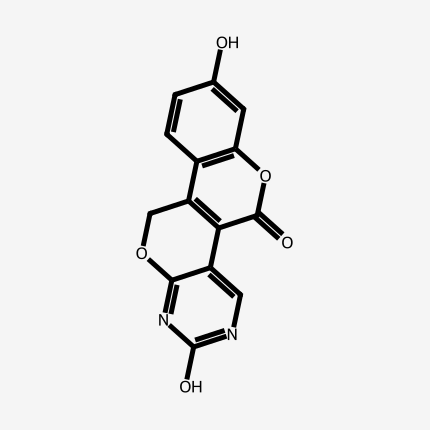 O=c1oc2cc(O)ccc2c2c1-c1cnc(O)nc1OC2